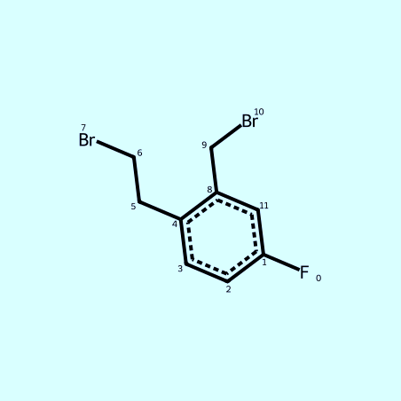 Fc1ccc(CCBr)c(CBr)c1